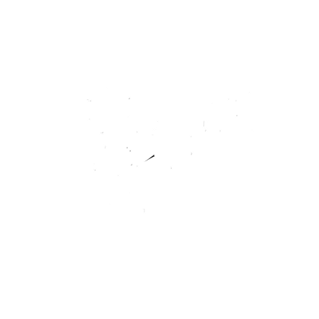 CC(C)[C@]1(O)C[C@](c2ccc(B3OC(C)(C)C(C)(C)O3)cc2)(N2C(=O)c3ccccc3C2=O)C1